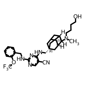 CN(CCCCO)[C@@H]1[C@@H]2CC3C[C@H]1C[C@](CNc1nc(NCc4ccccc4OC(F)(F)F)ncc1C#N)(C3)C2